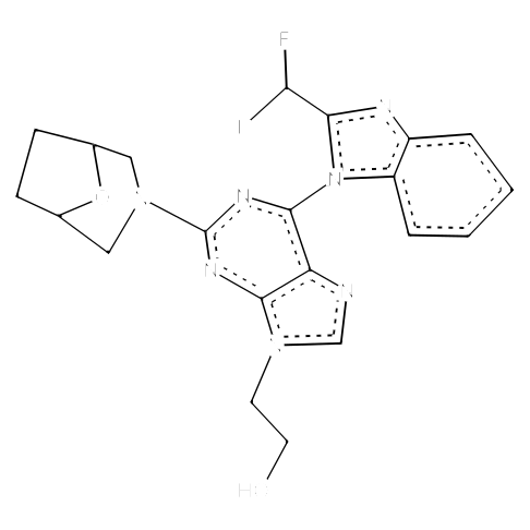 OCCn1cnc2c(-n3c(C(F)F)nc4ccccc43)nc(N3CC4CCC(C3)O4)nc21